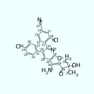 CC(C)(O)C(=O)c1oc2nc(-c3ccc(C#N)cc3Cl)c(-c3ccc(Cl)cc3)cc2c1N